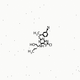 CCC[C@H](CO)Nc1nc(S[C@@H](C)c2cccc(C#N)c2)nc2nc(Cl)sc12